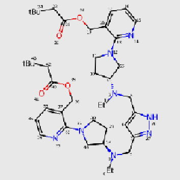 CCN(Cc1cc(CN(CC)[C@@H]2CCN(c3ncccc3COC(=O)CC(C)(C)C)C2)[nH]n1)[C@@H]1CCN(c2ncccc2COC(=O)CC(C)(C)C)C1